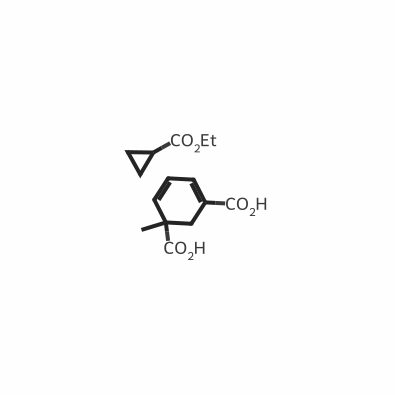 CC1(C(=O)O)C=CC=C(C(=O)O)C1.CCOC(=O)C1CC1